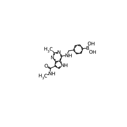 CNC(=O)c1c[nH]c2c(NCc3ccc(B(O)O)cc3)nc(C)nc12